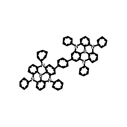 c1ccc(N2c3cccc4c3B3c5c2cccc5N(c2ccccc2)c2cc(-c5ccc(-c6cc7c8c(c6)N(c6ccccc6)c6cccc9c6B8c6c(cccc6N7c6ccccc6)N9c6ccccc6)cc5)cc(c23)N4c2ccccc2)cc1